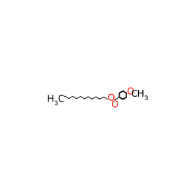 CCCCCCCCCCCCCOC(=O)c1ccc(OC)cc1